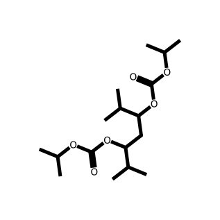 CC(C)OC(=O)OC(CC(OC(=O)OC(C)C)C(C)C)C(C)C